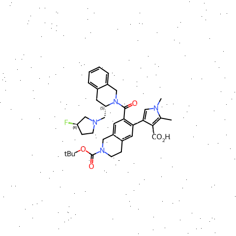 Cc1c(C(=O)O)c(-c2cc3c(cc2C(=O)N2Cc4ccccc4C[C@H]2CN2CC[C@@H](F)C2)CN(C(=O)OC(C)(C)C)CC3)cn1C